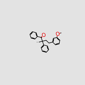 [CH2]C(CCc1cccc(OC)c1)(C(=O)c1ccccc1)c1ccccc1